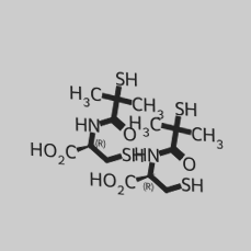 CC(C)(S)C(=O)N[C@@H](CS)C(=O)O.CC(C)(S)C(=O)N[C@@H](CS)C(=O)O